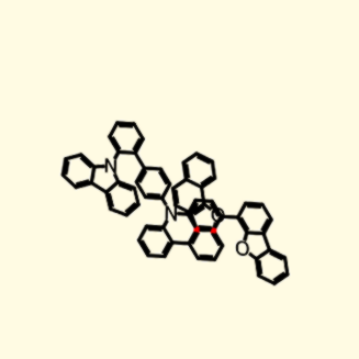 c1ccc(N(c2ccc(-c3ccccc3-n3c4ccccc4c4ccccc43)cc2)c2ccc(-c3cccc4c3oc3ccccc34)cc2)c(-c2cccc3oc4c5ccccc5ccc4c23)c1